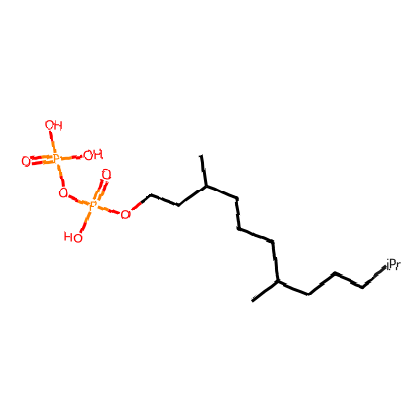 CC(C)CCCC(C)CCCC(C)CCOP(=O)(O)OP(=O)(O)O